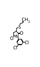 C=CCSCC1CC(=O)N(c2cc(Cl)cc(Cl)c2)C1=O